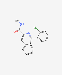 CC(C)NC(=O)c1cc2ccccc2c(-c2ccccc2Cl)n1